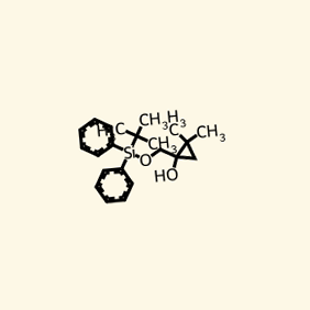 CC1(C)CC1(O)CO[Si](c1ccccc1)(c1ccccc1)C(C)(C)C